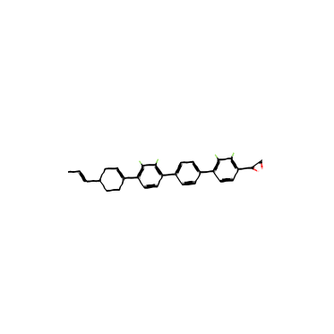 C/C=C/C1CC=C(c2ccc(-c3ccc(-c4ccc(C5CO5)c(F)c4F)cc3)c(F)c2F)CC1